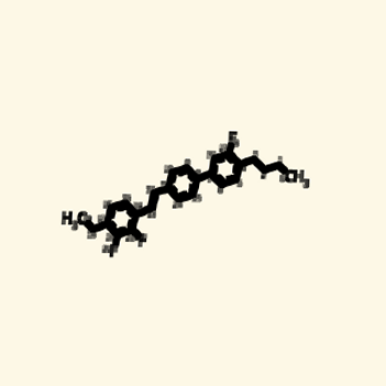 CCCCc1ccc(-c2ccc(/C=C/c3ccc(CC)c(F)c3F)cc2)cc1F